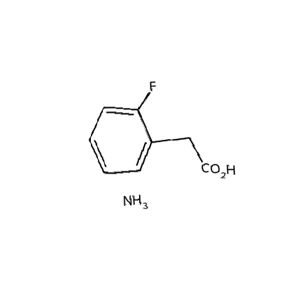 N.O=C(O)Cc1ccccc1F